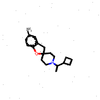 Bc1ccc2c(c1)CC1(CCN(C(C)C3CCC3)CC1)O2